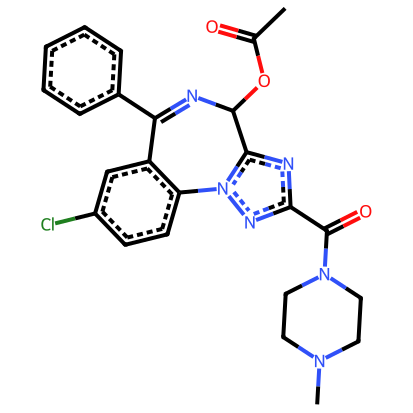 CC(=O)OC1N=C(c2ccccc2)c2cc(Cl)ccc2-n2nc(C(=O)N3CCN(C)CC3)nc21